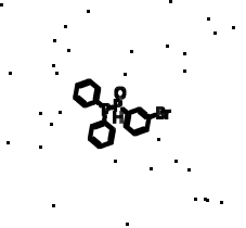 O=[PH](c1cccc(Br)c1)P(c1ccccc1)c1ccccc1